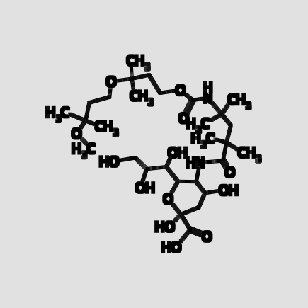 COC(C)(C)CCOC(C)(C)CCOC(=O)NC(C)(C)CC(C)(C)C(=O)NC1C(O)CC(O)(C(=O)O)OC1C(O)C(O)CO